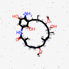 CO[C@H]1C[C@H](C)Cc2c(N)c(O)cc(c2O)NC(=O)/C(C)=C/C=C\[C@H](OC)C/C(C)=C/[C@H](C)[C@H]1O